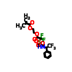 C=C(C)C(=O)OCCOC(=O)C(F)(F)S(=O)(=O)ONC(c1ccccc1)C(F)(F)F